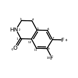 O=C1NCCc2cc(F)c(F)cc21